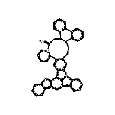 C=C1CC2C(CCc3cc4c(cc3-c3cccc[n+]31)c1c3oc5ccccc5c3cc3c5ccccc5n4c31)c1ccccc1-c1cccc[n+]12